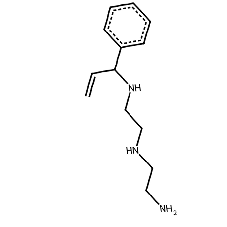 C=CC(NCCNCCN)c1ccccc1